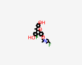 CC1=C(c2ccc(O)c(F)c2)C(c2ccc(OCC(C)N3CCC(CF)C3)cc2)Oc2cc(O)ccc21